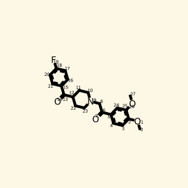 COc1ccc(C(=O)CN2CCC(C(=O)c3ccc(F)cc3)CC2)cc1OC